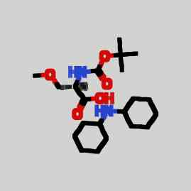 C1CCC(NC2CCCCC2)CC1.COC[C@H](NC(=O)OC(C)(C)C)C(=O)O